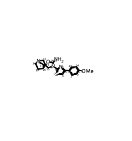 COc1ccc(-c2csc(N3CC4(CN5CCC4CC5)OC3N)n2)cc1